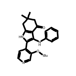 CC1(C)CC(=O)c2c([nH]c(-c3ccncc3OC(C)(C)C)c2Nc2ccccc2)C1